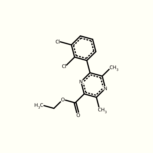 CCOC(=O)c1nc(-c2cccc(Cl)c2Cl)c(C)nc1C